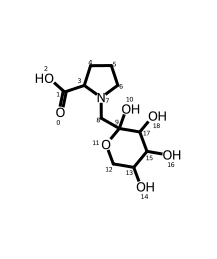 O=C(O)C1CCCN1CC1(O)OCC(O)C(O)C1O